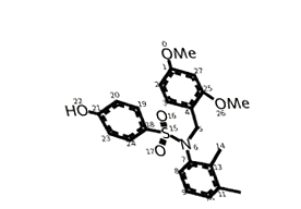 COc1ccc(CN(c2cccc(C)c2C)S(=O)(=O)c2ccc(O)cc2)c(OC)c1